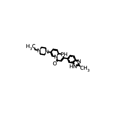 CCN1CCN(C2=CN3C(=O)C=C(c4ccc5nc(C)[nH]c5c4)PC3C=C2)CC1